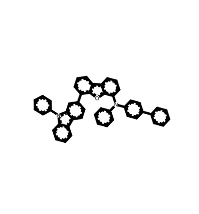 c1ccc(-c2ccc(N(c3ccccc3)c3cccc4c3oc3c(-c5ccc6c7ccccc7n(-c7ccccc7)c6c5)cccc34)cc2)cc1